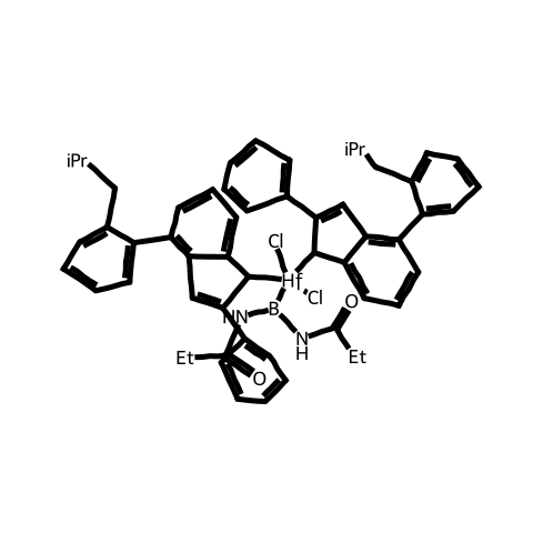 CCC(=O)N[B](NC(=O)CC)[Hf]([Cl])([Cl])([CH]1C(c2ccccc2)=Cc2c(-c3ccccc3CC(C)C)cccc21)[CH]1C(c2ccccc2)=Cc2c(-c3ccccc3CC(C)C)cccc21